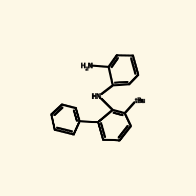 CC(C)(C)c1cccc(-c2ccccc2)c1Nc1ccccc1N